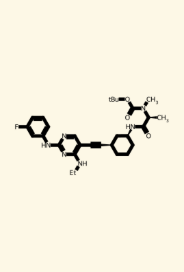 CCNc1nc(Nc2cccc(F)c2)ncc1C#C[C@@H]1CCC[C@H](NC(=O)[C@H](C)N(C)C(=O)OC(C)(C)C)C1